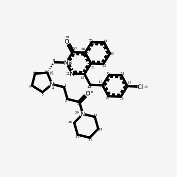 O=C(CCN1CCC[C@@H]1Cn1nc(Cc2ccc(Cl)cc2)c2ccccc2c1=O)N1CCCCC1